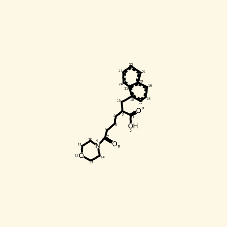 O=C(O)C(CCCC(=O)N1CCOCC1)Cc1cccc2ccccc12